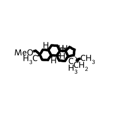 C=C(C)[C@H]1CC[C@H]2[C@@H]3CC[C@@H]4C[C@@](C)(COC)CC[C@@H]4[C@H]3CC[C@]12C